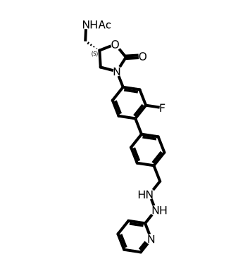 CC(=O)NC[C@H]1CN(c2ccc(-c3ccc(CNNc4ccccn4)cc3)c(F)c2)C(=O)O1